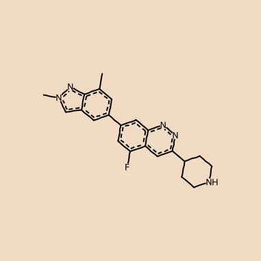 Cc1cc(-c2cc(F)c3cc(C4CCNCC4)nnc3c2)cc2cn(C)nc12